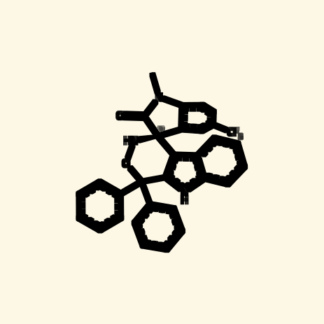 CN1C(=O)[C@]2(NOC(c3ccccc3)(c3ccccc3)c3[nH]c4ccccc4c32)c2cc(C(F)(F)F)ccc21